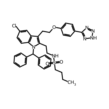 CCCCS(=O)(=O)NCCc1c(CCOc2ccc(-c3nn[nH]n3)cc2)c2cc(Cl)ccc2n1C(c1ccccc1)c1ccccc1